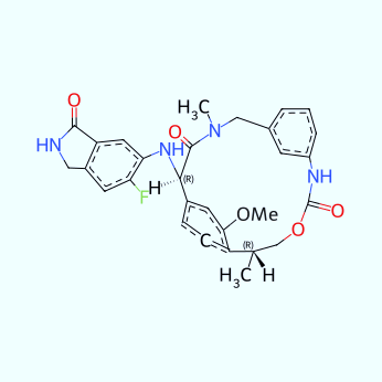 COc1cc2ccc1[C@@H](C)COC(=O)Nc1cccc(c1)CN(C)C(=O)[C@@H]2Nc1cc2c(cc1F)CNC2=O